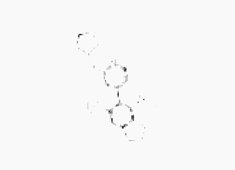 Cc1cc2c(c(N)c1-c1ccnc(OC3CCOC3)c1)CCC2